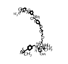 Cc1ncsc1-c1ccc(CNC(=O)[C@@H]2C[C@@H](O)CN2C(=O)C(NC(=O)CCOCCOCCOc2ccc(C(=O)Nc3ccc4oc(-c5ccc(=O)n(C)n5)nc4c3)nc2)C(C)(C)C)cc1